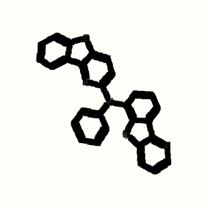 c1ccc(N(c2ccc3oc4ccccc4c3n2)c2cccc3c2oc2cccnc23)cc1